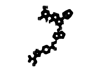 CC(C)C(C=O)c1cc(N2CCN(C(=O)OC[C@@H]3CC[C@@]4(COc5nc(N6CC7CCC(C6)N7)c6cnc(-c7cc(O)cc(Cl)c7F)c(F)c6n5)CCCN34)CC2)no1